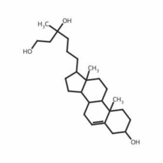 CC(O)(CCO)CCCC1CCC2C3CC=C4CC(O)CCC4(C)C3CCC12C